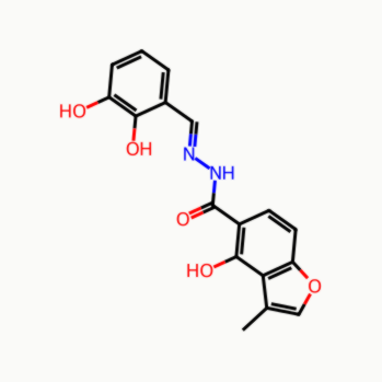 Cc1coc2ccc(C(=O)NN=Cc3cccc(O)c3O)c(O)c12